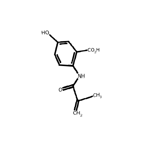 C=C(C)C(=O)Nc1ccc(O)cc1C(=O)O